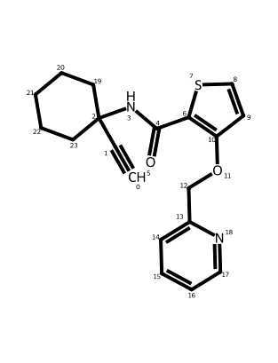 C#CC1(NC(=O)c2sccc2OCc2ccccn2)CCCCC1